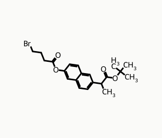 CC(C(=O)OC(C)(C)C)c1ccc2cc(OC(=O)CCCBr)ccc2c1